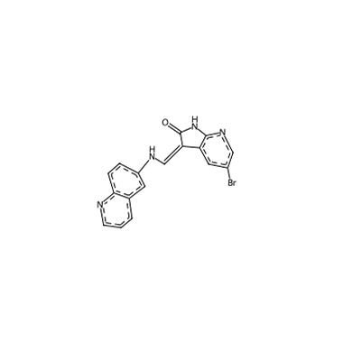 O=C1Nc2ncc(Br)cc2C1=CNc1ccc2ncccc2c1